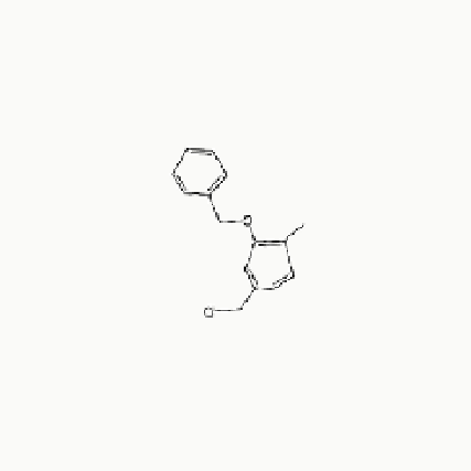 Cc1ccc(CCl)cc1OCc1ccccc1